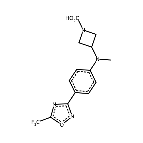 CN(c1ccc(-c2noc(C(F)(F)F)n2)cc1)C1CN(C(=O)O)C1